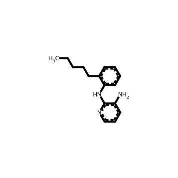 CCCC[CH]c1ccccc1Nc1ncccc1N